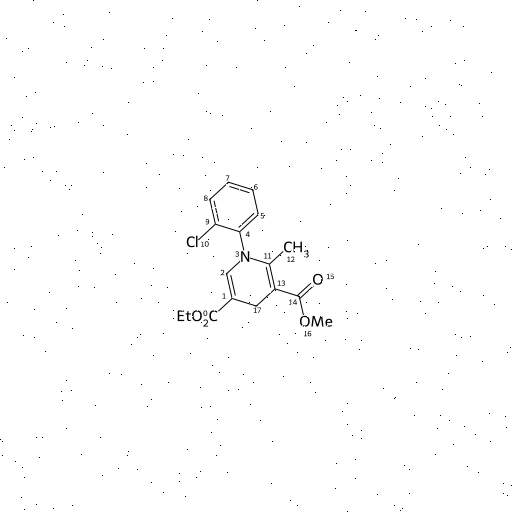 CCOC(=O)C1=CN(c2ccccc2Cl)C(C)=C(C(=O)OC)C1